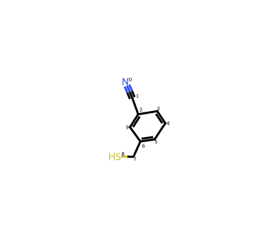 N#Cc1cccc(CS)c1